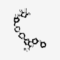 NC(=O)c1ccc(N2CCC(N3CCN(Cc4ccc(NC5CCC(=O)NC5=O)cc4)CC3)CC2)nc1-c1ccc(Oc2ccccc2)cc1